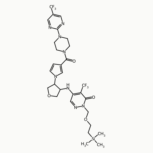 C[Si](C)(C)CCOCn1ncc(NC2COCC2n2ccc(C(=O)N3CCN(c4ncc(C(F)(F)F)cn4)CC3)c2)c(C(F)(F)F)c1=O